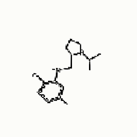 Cc1ccc(Cl)c(NCC2CCCN2C(C)C)c1